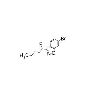 CCCCC(F)c1noc2cc(Br)ccc12